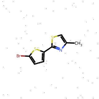 Cc1[c]sc(-c2ccc(Br)s2)n1